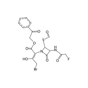 O=CSC1C(NC(=O)CF)C(=O)N1C(C(=O)OCC(=O)c1ccccc1)=C(O)CBr